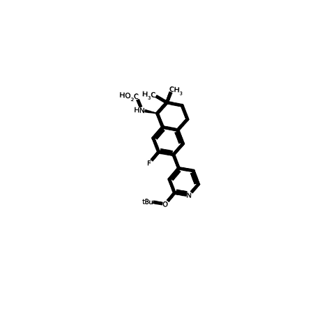 CC(C)(C)Oc1cc(-c2cc3c(cc2F)[C@@H](NC(=O)O)C(C)(C)CC3)ccn1